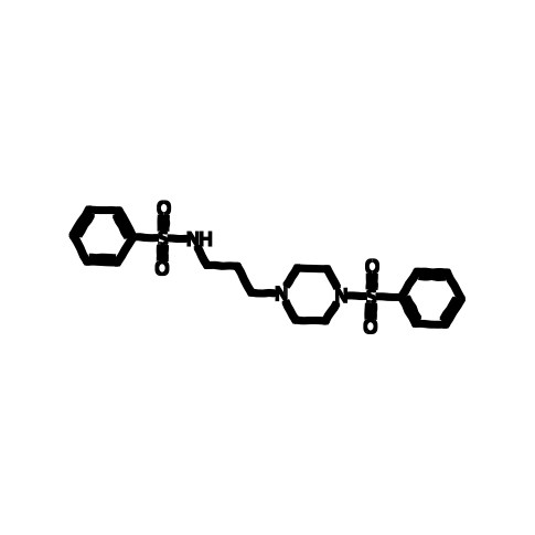 O=S(=O)(NCCCN1CCN(S(=O)(=O)c2ccccc2)CC1)c1ccccc1